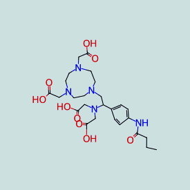 CCCC(=O)Nc1ccc(C(CN2CCN(CC(=O)O)CCN(CC(=O)O)CC2)N(CC(=O)O)CC(=O)O)cc1